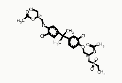 CCS(=O)(=O)C[C@@H](COc1ccc(C(C)(C)c2ccc(OC[C@H](CCl)OC(C)=O)c(Cl)c2)cc1Cl)OC(C)=O